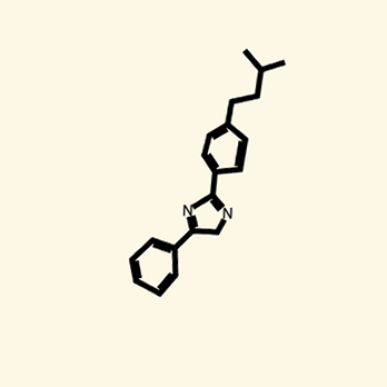 CC(C)CCc1ccc(C2=NCC(c3ccccc3)=N2)cc1